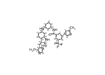 Cc1cn(-c2cc(C(=O)Nc3cccc(Nc4ccc5c(c4)NC(=O)C5=Cc4[nH]cnc4C)c3)cc(C(F)(F)F)c2)cn1